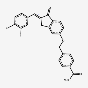 COC(=O)c1ccc(COc2ccc3c(c2)C/C(=C\c2ccc(Cl)c(F)c2)C3=O)cc1